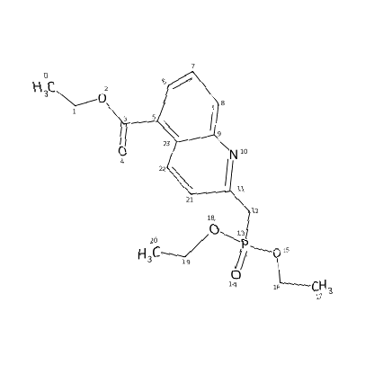 CCOC(=O)c1cccc2nc(CP(=O)(OCC)OCC)ccc12